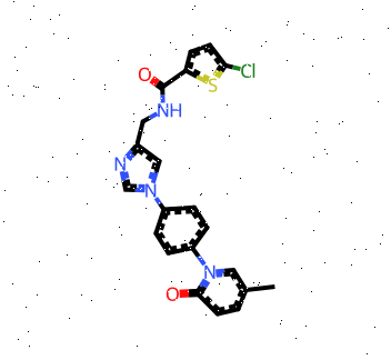 Cc1ccc(=O)n(-c2ccc(-n3cnc(CNC(=O)c4ccc(Cl)s4)c3)cc2)c1